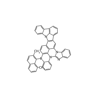 Cc1ccc2cccc(C)c2c1B1c2ccccc2-n2c3c1ccc1c3c(cc3c4cccc5c6ccccc6n(c54)c31)n1c3ccccc3nc21